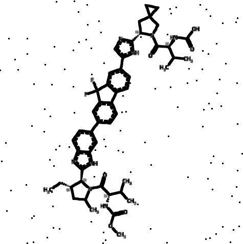 CC[C@H]1CC(C)N(C(=O)[C@@H](NC(=O)OC)C(C)C)[C@@H]1c1nc2ccc(-c3ccc4c(c3)C(F)(F)c3cc(-c5cnc([C@@H]6CC7(CC7)CN6C(=O)[C@@H](NC(=O)O)C(C)C)[nH]5)ccc3-4)cc2[nH]1